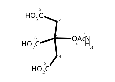 CC(=O)OC(CC(=O)O)(CC(=O)O)C(=O)O.N